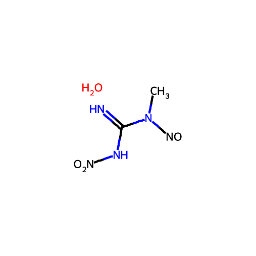 CN(N=O)C(=N)N[N+](=O)[O-].O